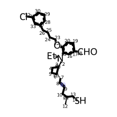 CCN(C[C@@H]1CC[C@H]1C/C=C/C[C@H](C)CS)c1cc(C=O)ccc1OCCCCc1cccc(Cl)c1